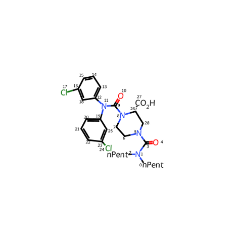 CCCCCN(CCCCC)C(=O)N1CCN(C(=O)N(c2cccc(Cl)c2)c2cccc(Cl)c2)[C@H](C(=O)O)C1